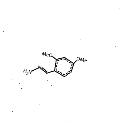 COc1ccc(/C=N/N)c(OC)c1